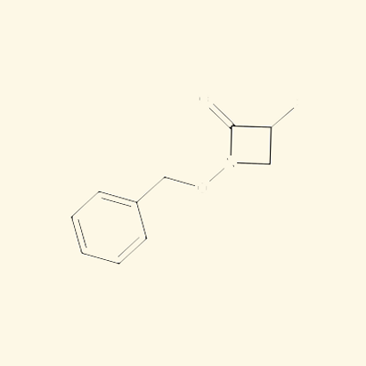 CC1CN(OCc2ccccc2)C1=O